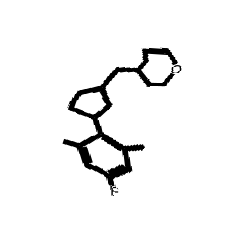 Cc1cc(F)cc(C)c1C1CCC(CC2CCOCC2)C1